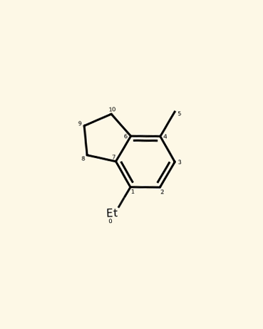 [CH2]Cc1ccc(C)c2c1CCC2